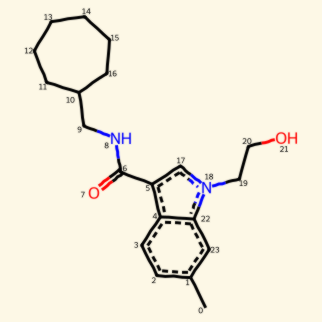 Cc1ccc2c(C(=O)NCC3CCCCCC3)cn(CCO)c2c1